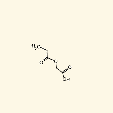 [CH2]CC(=O)OCC(=O)O